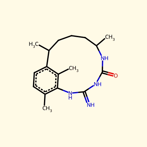 Cc1ccc2c(C)c1NC(=N)NC(=O)NC(C)CCCC2C